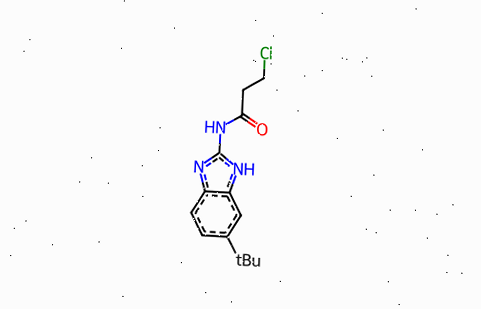 CC(C)(C)c1ccc2nc(NC(=O)CCCl)[nH]c2c1